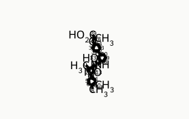 CC1=NN(c2ccc(C)c(C)c2)C(=O)C1=NNc1cccc(-c2ccc(OC(C)C(=O)O)cc2)c1O